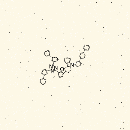 C1=CC2c3cccc(-c4nc(-c5cccc(-c6ccccc6)c5)nc(-c5cccc(-c6ccccc6)c5)n4)c3OC2c2c1n(-c1cccc(-c3ccc(-c4ccccc4)cc3)c1)c1ccccc21